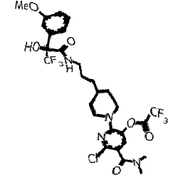 COc1cccc([C@@](O)(C(=O)NCCCC2CCN(c3nc(Cl)c(C(=O)N(C)C)cc3OC(=O)C(F)(F)F)CC2)C(F)(F)F)c1